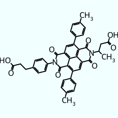 Cc1ccc(-c2cc3c4c(c(-c5ccc(C)cc5)cc5c4c2C(=O)N(c2ccc(CCC(=O)O)cc2)C5=O)C(=O)N(C(C)CC(=O)O)C3=O)cc1